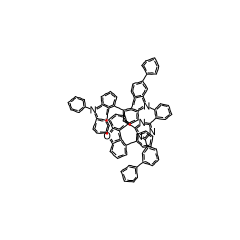 c1ccc(-c2cccc(-c3nc(-c4ccccc4-n4c5cc(-c6ccccc6)ccc5c5c(-c6cccc7c6c6ccccc6n7-c6ccccc6)cccc54)nc(-c4cccc5oc6cccc(-c7ccccc7)c6c45)n3)c2)cc1